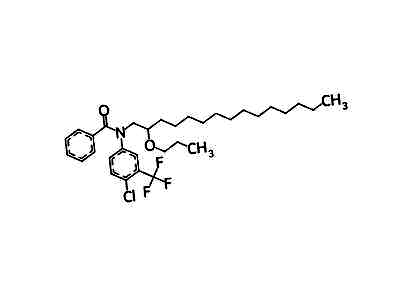 CCCCCCCCCCCCCC(CN(C(=O)c1ccccc1)c1ccc(Cl)c(C(F)(F)F)c1)OCCC